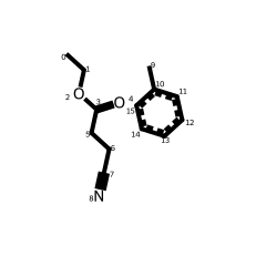 CCOC(=O)CCC#N.Cc1ccccc1